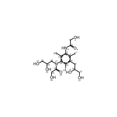 O=C(CO)Nc1c(I)c(CC(O)CO)c(I)c(N(CC(O)CO)C(=O)CO)c1I